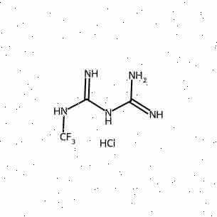 Cl.N=C(N)NC(=N)NC(F)(F)F